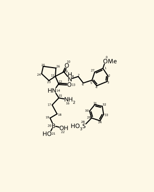 COc1cccc(CCNC(=O)C2(C(=O)NC(N)CCCB(O)O)CCCC2)c1.O=S(=O)(O)c1ccccc1